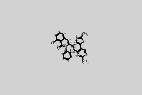 Cc1ncc(-c2cnc(N)nc2N[C@@H](C)c2nc3cccc(Cl)c3c(=O)n2-c2ccccc2)s1